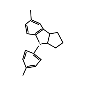 Cc1ccc(N2c3ccc(C)cc3C3CCCC32)cc1